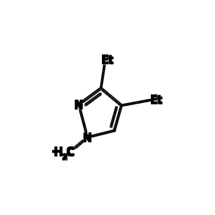 [CH2]n1cc(CC)c(CC)n1